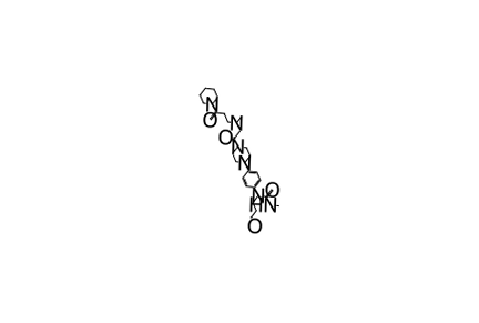 CNC(=O)N(CCC=O)c1ccc(N2CCN(C(=O)CN(C)CCC(=O)N3CCCCC3)CC2)cc1